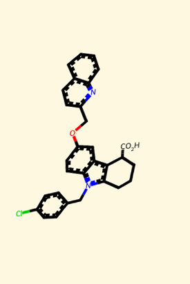 O=C(O)C1CCCc2c1c1cc(OCc3ccc4ccccc4n3)ccc1n2Cc1ccc(Cl)cc1